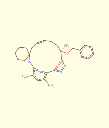 O=[N+]([O-])c1cc(C(F)(F)F)c2nc1-c1nnc(o1)[C@@](OCc1ccccc1)(C(F)(F)F)CCC=CCC1(CCCCC1)N2